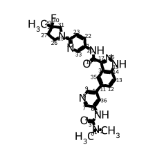 CN(C)C(=O)Nc1cncc(-c2ccc3[nH]nc(C(=O)Nc4ccc(N5CCC(C)(F)C5)nc4)c3c2)c1